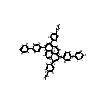 [C-]#[N+]c1ccc(-c2cc(-c3ccc(-c4ccccc4)cc3)c3ccc4c(-c5ccc(C#N)cc5)cc(-c5ccc(-c6ccccc6)cc5)c5ccc2c3c45)cc1